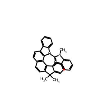 Cn1c(-n2c3ccccc3c3ccc4ccc5c(c4c32)-c2ccccc2C5(C)C)nc2ccccc21